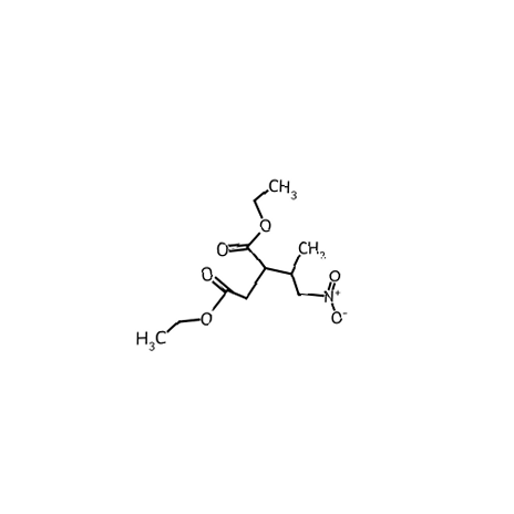 CCOC(=O)CC(C(=O)OCC)C(C)C[N+](=O)[O-]